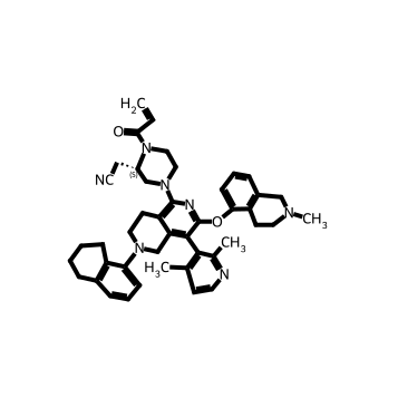 C=CC(=O)N1CCN(c2nc(Oc3cccc4c3CCN(C)C4)c(-c3c(C)ccnc3C)c3c2CCN(c2cccc4c2CCCC4)C3)C[C@@H]1CC#N